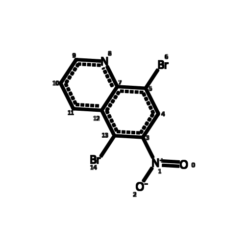 O=[N+]([O-])c1cc(Br)c2ncccc2c1Br